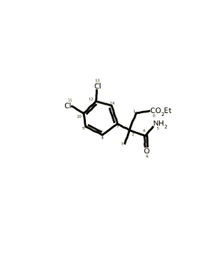 CCOC(=O)CC(C)(C(N)=O)c1ccc(Cl)c(Cl)c1